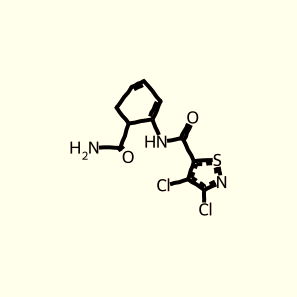 NC(=O)C1CC=CC=C1NC(=O)c1snc(Cl)c1Cl